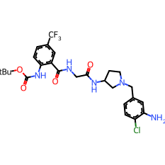 CC(C)(C)OC(=O)Nc1ccc(C(F)(F)F)cc1C(=O)NCC(=O)NC1CCN(Cc2ccc(Cl)c(N)c2)C1